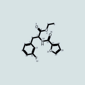 CCOC(=O)C(Cc1cccc(F)c1)NC(=O)c1ccco1